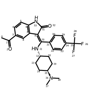 CC(=O)c1ccc2c(c1)C(=C(N[C@H]1CC[C@H](N(C)C)CC1)c1ccc(C(F)(F)F)cc1)C(=O)N2